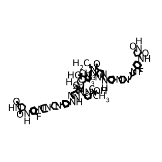 C=CCn1c(=O)c2cnc(Nc3ccc(N4CCN(CC5CN(c6ccc(NC7CCC(=O)NC7=O)cc6F)C5)CC4)cc3)nc2n1-c1ccc(C(=C)Cn2c(=O)c3cnc(Nc4ccc(N5CCC(N6CCN(c7ccc(NC8CCC(=O)NC8=O)cc7F)CC6)CC5)cc4)nc3n2-c2cccc(C(C)(C)O)n2)c(C(C)(C)O)n1